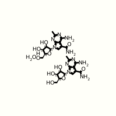 Cc1nc(N)c2c(C(N)=O)cn([C@@H]3O[C@@H](CO)[C@@H](O)[C@H]3O)c2n1.Cc1nc(N)c2c(C(N)=O)cn([C@@H]3O[C@@H](CO)[C@@H](O)[C@H]3O)c2n1.O